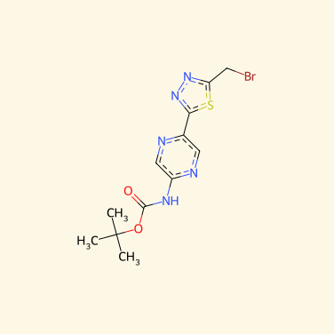 CC(C)(C)OC(=O)Nc1cnc(-c2nnc(CBr)s2)cn1